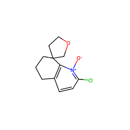 [O-][n+]1c(Cl)ccc2c1C1(CCC2)CCOC1